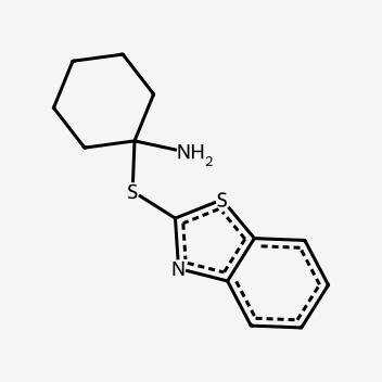 NC1(Sc2nc3ccccc3s2)CCCCC1